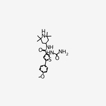 COc1ccc(-c2cc(C(=O)NC3CC(C)(C)NC(C)(C)C3)c(NC(N)=O)s2)cc1